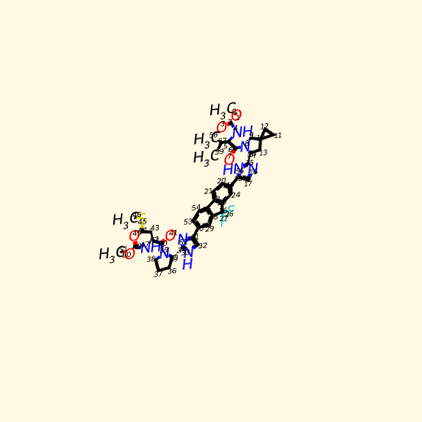 COC(=O)NC(C(=O)N1CC2(CC2)C[C@H]1c1ncc(-c2ccc3c(c2)C(F)(F)c2cc(-c4c[nH]c([C@@H]5CCCN5C(=O)[C@H](CCSC)NC(=O)OC)n4)ccc2-3)[nH]1)C(C)C